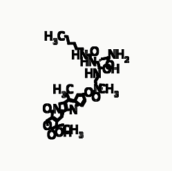 CCCCCCNC(=O)N[C@H](CC(N)=O)C(O)NCCN(C)C(=O)Oc1ccc2nc3c(c(CC)c2c1)Cn1c-3cc2c(c1=O)COC(=O)[C@]2(O)CC